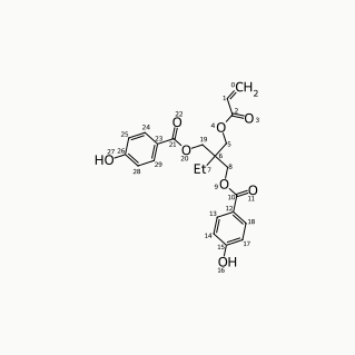 C=CC(=O)OCC(CC)(COC(=O)c1ccc(O)cc1)COC(=O)c1ccc(O)cc1